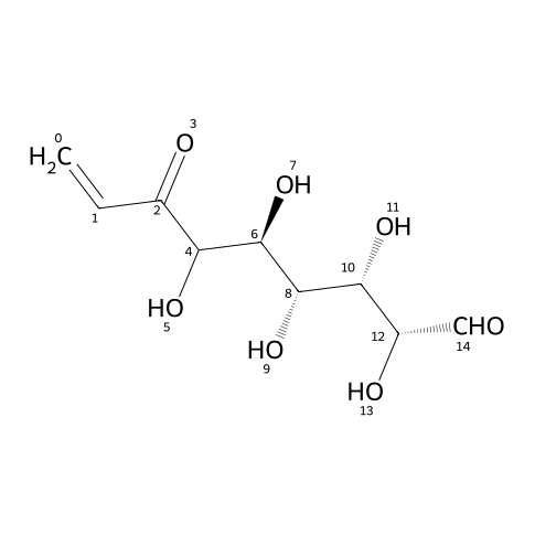 C=CC(=O)C(O)[C@@H](O)[C@@H](O)[C@H](O)[C@@H](O)C=O